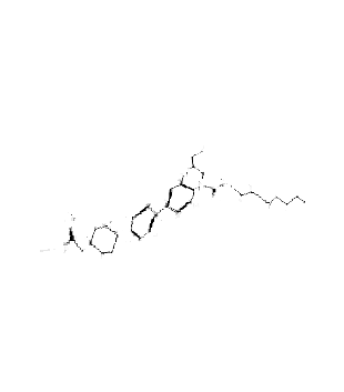 CCCCCCCNC(=O)N1CC(CC)Oc2cc(-c3ccc([C@H]4CC[C@H](CC(=O)O)CC4)cc3)ccc21